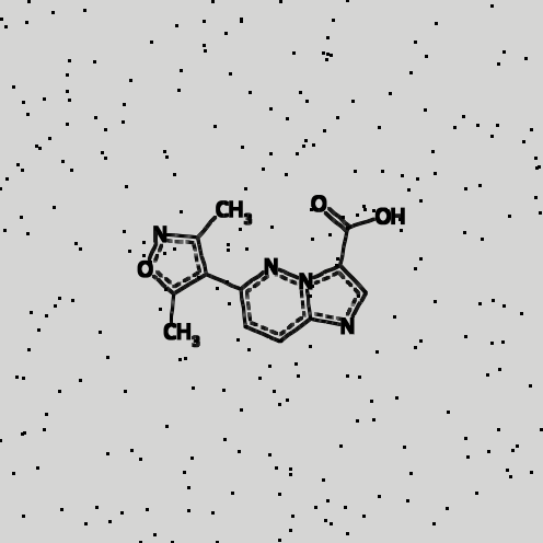 Cc1noc(C)c1-c1ccc2ncc(C(=O)O)n2n1